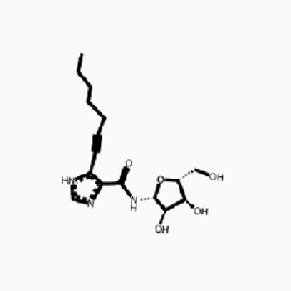 CCCCCC#Cc1[nH]cnc1C(=O)N[C@@H]1O[C@H](CO)[C@@H](O)[C@H]1O